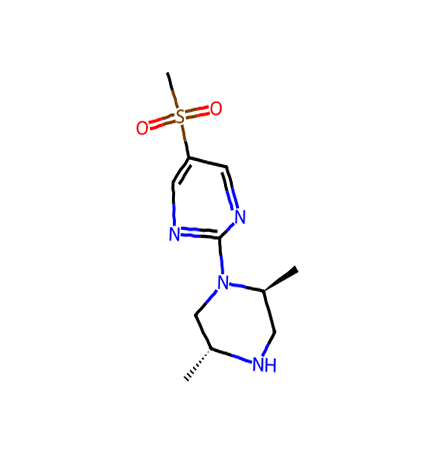 C[C@@H]1CN(c2ncc(S(C)(=O)=O)cn2)[C@@H](C)CN1